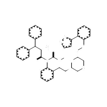 COC(=O)N(C(=O)[C@@H](N)C(c1ccccc1)c1ccccc1)c1ccccc1CC[C@@H]1CNC[C@@H](COc2ccccc2-c2cc[nH]n2)O1